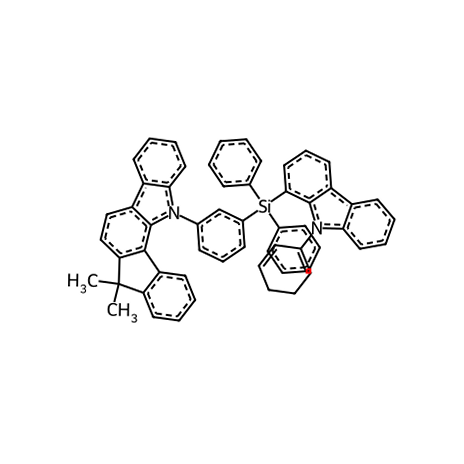 CC1(C)c2ccccc2-c2c1ccc1c3ccccc3n(-c3cccc([Si](c4ccccc4)(c4ccccc4)c4cccc5c6ccccc6n(C6=CCCC=C6)c45)c3)c21